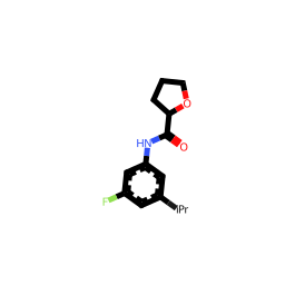 CC(C)c1cc(F)cc(NC(=O)C2CCCO2)c1